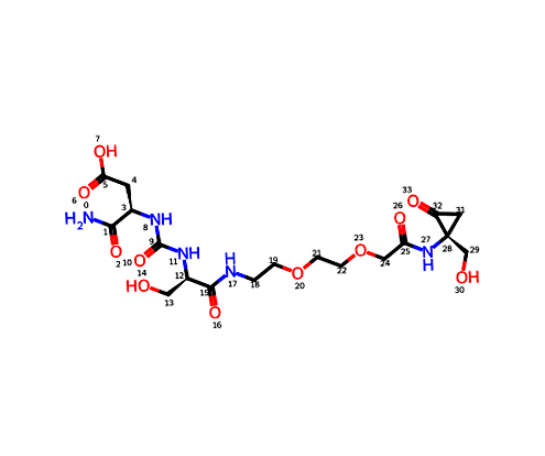 NC(=O)[C@@H](CC(=O)O)NC(=O)N[C@H](CO)C(=O)NCCOCCOCC(=O)N[C@@]1(CO)CC1=O